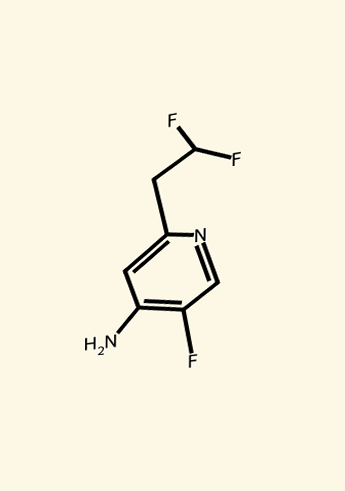 Nc1cc(CC(F)F)ncc1F